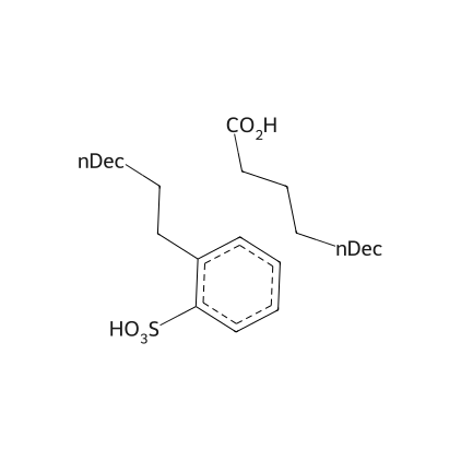 CCCCCCCCCCCCCC(=O)O.CCCCCCCCCCCCc1ccccc1S(=O)(=O)O